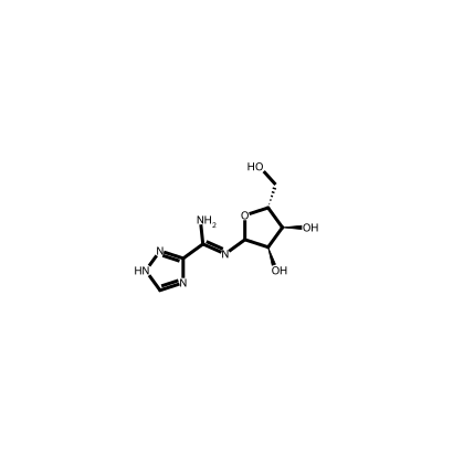 NC(=NC1O[C@H](CO)[C@@H](O)[C@H]1O)c1nc[nH]n1